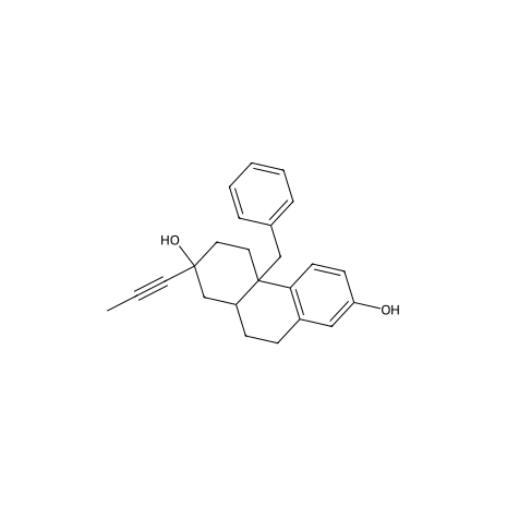 CC#CC1(O)CCC2(Cc3ccccc3)c3ccc(O)cc3CCC2C1